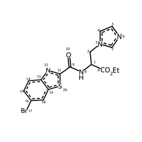 CCOC(=O)C(Cn1ccnc1)NC(=O)c1nc2ccc(Br)cc2s1